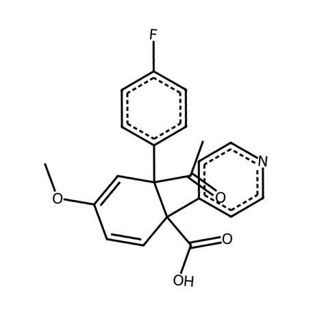 COC1=CC(C(C)=O)(c2ccc(F)cc2)C(C(=O)O)(c2ccncc2)C=C1